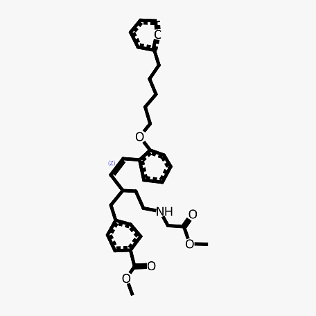 COC(=O)CNCCC(/C=C\c1ccccc1OCCCCCc1ccccc1)Cc1ccc(C(=O)OC)cc1